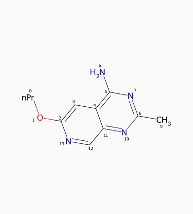 CCCOc1cc2c(N)nc(C)nc2cn1